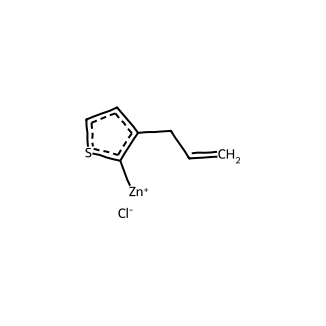 C=CCc1ccs[c]1[Zn+].[Cl-]